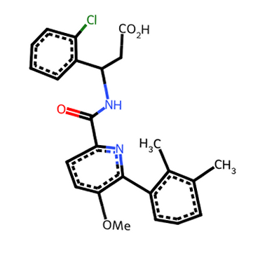 COc1ccc(C(=O)NC(CC(=O)O)c2ccccc2Cl)nc1-c1cccc(C)c1C